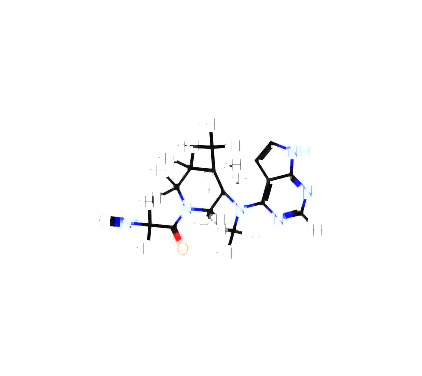 [2H]c1nc(N(C([2H])([2H])[2H])[C@@]2([2H])C([2H])([2H])N(C(=O)C([2H])([2H])[N+]#[C-])C([2H])([2H])C([2H])([2H])[C@@]2([2H])C([2H])([2H])[2H])c2cc[nH]c2n1